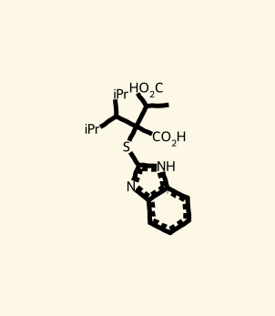 CC(C)C(C(C)C)C(Sc1nc2ccccc2[nH]1)(C(=O)O)C(C)C(=O)O